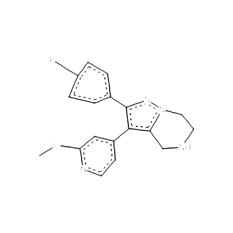 COc1cc(-c2c(-c3ccc(F)cc3)nn3c2CNCC3)ccn1